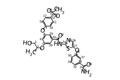 C[C@@H](CO)Oc1cc(Oc2ccc(S(C)(=O)=O)cc2)cc(C(=O)Nc2ncc(Oc3cccc(C(N)=O)c3)s2)c1